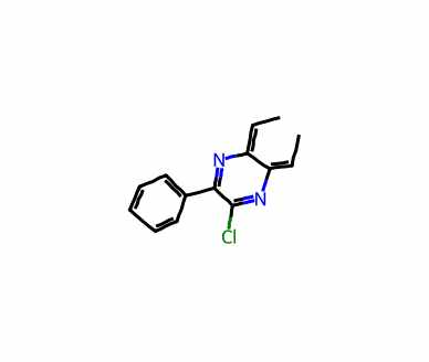 C/C=c1/nc(Cl)c(-c2ccccc2)n/c1=C/C